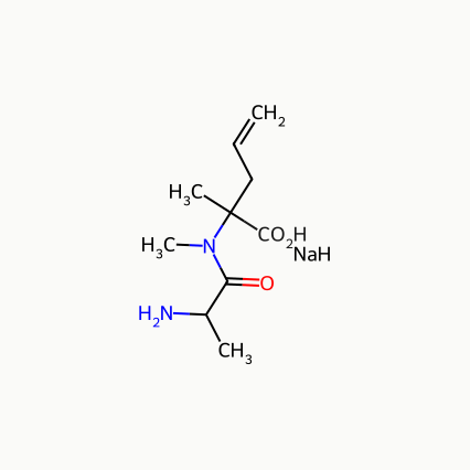 C=CCC(C)(C(=O)O)N(C)C(=O)C(C)N.[NaH]